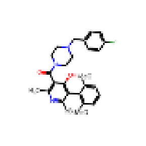 CCCCc1nc(C)c(C(=O)N2CCN(Cc3ccc(F)cc3)CC2)c(O)c1-c1c(OC)cccc1OC